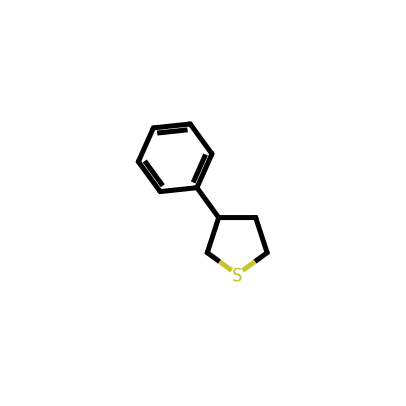 c1ccc(C2CCSC2)cc1